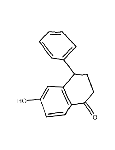 O=C1CCC(c2ccccc2)c2cc(O)ccc21